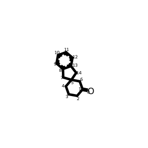 O=C1CCCC2(C1)Cc1ccccc1C2